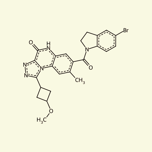 COC1CC(c2nnc3c(=O)[nH]c4cc(C(=O)N5CCc6cc(Br)ccc65)c(C)cc4n23)C1